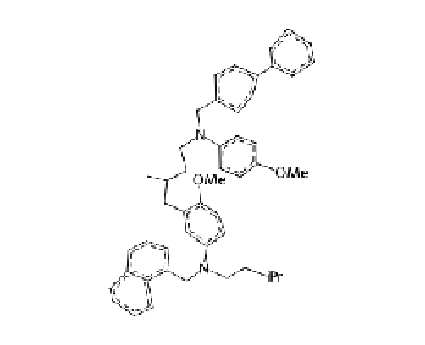 COc1ccc(N(CCC(C)Cc2cc(N(CCC(C)C)Cc3cccc4ccccc34)ccc2OC)Cc2ccc(-c3ccccc3)cc2)cc1